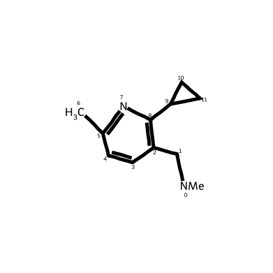 CNCc1ccc(C)nc1C1CC1